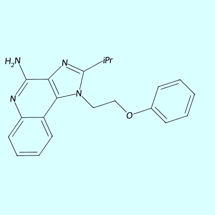 CC(C)c1nc2c(N)nc3ccccc3c2n1CCOc1ccccc1